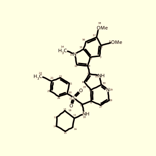 COc1cc2c(-c3cc4c(C(NC5CCCCC5)S(=O)(=O)c5ccc(C)cc5)ccnc4[nH]3)cn(C)c2cc1OC